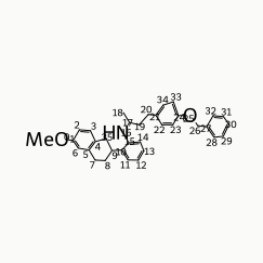 COc1ccc2c(c1)CCC(c1ccccc1NC(C)CCc1ccc(OCc3ccccc3)cc1)C2